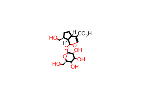 O=C(O)C1=CO[C@@H](O[C@@H]2O[C@H](CO)[C@@H](O)[C@H](O)[C@H]2O)[C@H]2[C@@H](CO)CC[C@@H]12